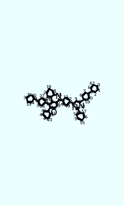 c1ccc(-c2ccc(-c3cc(-c4ccc(-c5nc6ccccc6c6c(-c7ccc(-c8ccccc8)cc7)c7c(cc56)oc5ccccc57)cc4)nc(-c4ccccc4)n3)cc2)cc1